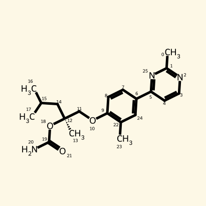 Cc1nccc(-c2ccc(OC[C@](C)(CC(C)C)OC(N)=O)c(C)c2)n1